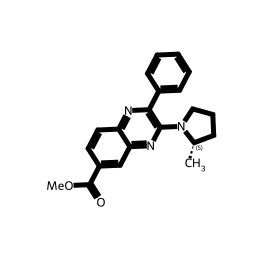 COC(=O)c1ccc2nc(-c3ccccc3)c(N3CCC[C@@H]3C)nc2c1